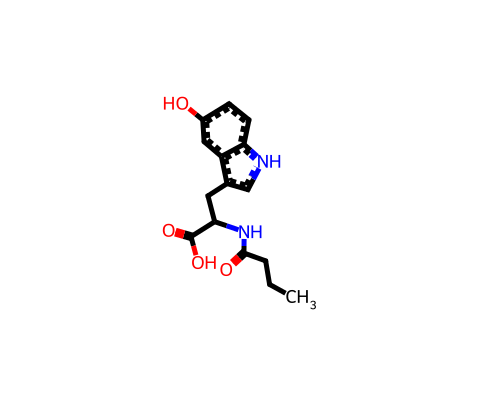 CCCC(=O)NC(Cc1c[nH]c2ccc(O)cc12)C(=O)O